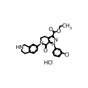 CCOC(=O)c1nn(-c2cccc(Cl)c2)c2c1CCN(c1ccc3c(c1)CNCC3)C2=O.Cl